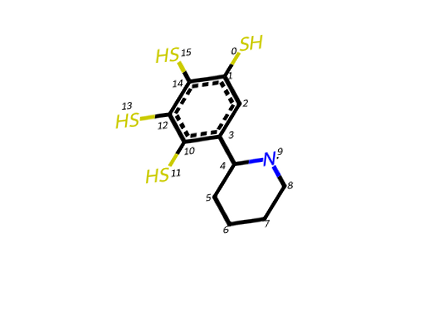 Sc1cc(C2CCCC[N]2)c(S)c(S)c1S